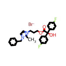 Cc1n(CCCOC(=O)C(O)(c2ccc(F)cc2)c2ccc(F)cc2)cc[n+]1Cc1ccccc1.[Br-]